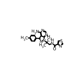 Cc1ccc(-c2nn(C(C)(C)CNC(=O)c3cscn3)c3ncnc(N)c23)cc1